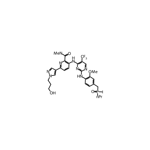 CCCP(=O)(I)Cc1ccc(Nc2ncc(C(F)(F)F)c(Nc3ccc(-c4cnn(CCCO)c4)nc3C(=O)NC)n2)c(OC)c1